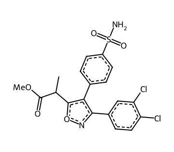 COC(=O)C(C)c1onc(-c2ccc(Cl)c(Cl)c2)c1-c1ccc(S(N)(=O)=O)cc1